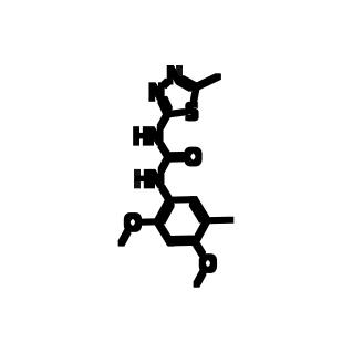 COc1cc(OC)c(NC(=O)Nc2nnc(C)s2)cc1C